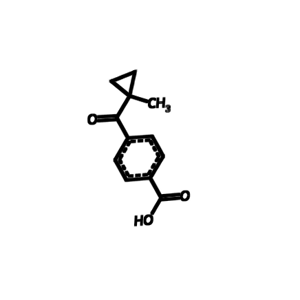 CC1(C(=O)c2ccc(C(=O)O)cc2)CC1